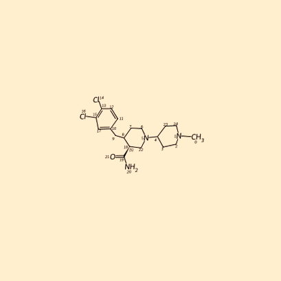 CN1CCC(N2CCC(Cc3ccc(Cl)c(Cl)c3)[C@H](C(N)=O)C2)CC1